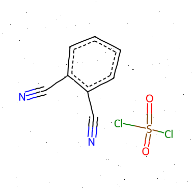 N#Cc1ccccc1C#N.O=S(=O)(Cl)Cl